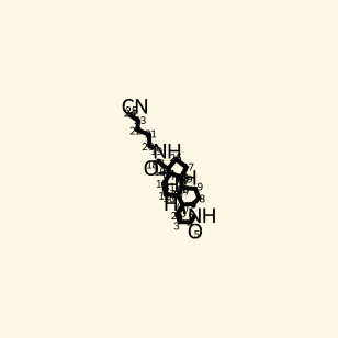 C[C@]12C=CC(=O)NC1CC[C@@H]1[C@H]2CC[C@]2(C)C(C(=O)NCCCCCC#N)CC[C@@H]12